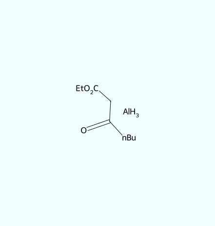 CCCCC(=O)CC(=O)OCC.[AlH3]